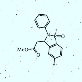 COC(=O)CC1c2cc(F)ccc2P(C)(=O)N1c1ccccc1